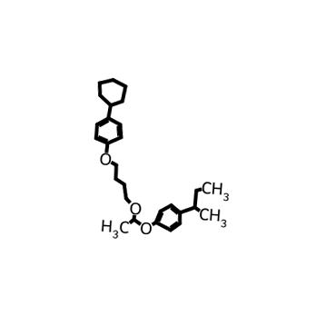 CCC(C)c1ccc(OC(C)OCCCCOc2ccc(C3CCCCC3)cc2)cc1